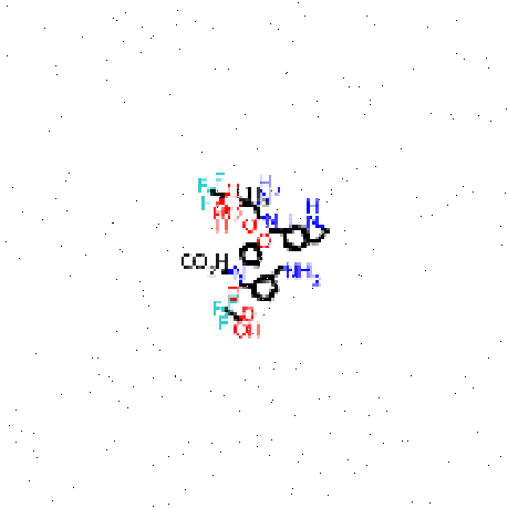 C[C@@H](O)[C@H](N)C(=O)NC(=O)c1ccc2c(c1)NCC2.NCc1cccc(C(=O)N(CC(=O)O)c2ccccc2)c1.O=C(O)C(F)(F)F.O=C(O)C(F)(F)F